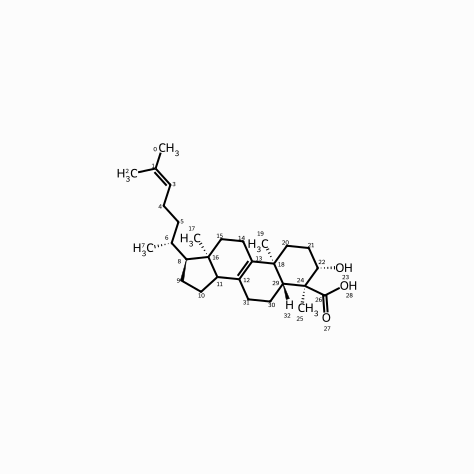 CC(C)=CCC[C@@H](C)[C@@H]1CCC2C3=C(CC[C@@]21C)[C@@]1(C)CC[C@H](O)[C@@](C)(C(=O)O)[C@@H]1CC3